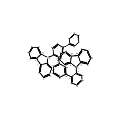 c1ccc(-c2ccc(-n3c4ccccc4c4ccccc43)c(-c3cccc(-c4ccccc4-n4c5ccccc5c5ccccc54)c3)c2)cc1